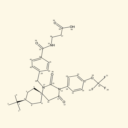 CC(C)(C)[C@H]1CC[C@]2(CC1)CC(=O)N(c1ccc(OC(F)(F)F)cc1)C(=O)N2Cc1ccc(C(=O)NCCC(=O)O)cc1